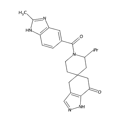 Cc1nc2cc(C(=O)N3CCC4(CC(=O)c5[nH]ncc5C4)CC3C(C)C)ccc2[nH]1